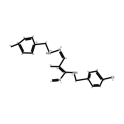 C=N/C(NCc1ccc(CC)cc1)=C(C)/C=N\NCc1ccc(C)cc1